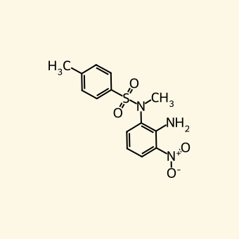 Cc1ccc(S(=O)(=O)N(C)c2cccc([N+](=O)[O-])c2N)cc1